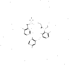 CCOCN(C(=O)CCl)c1c(C)cccc1CC.CS(=O)(=O)NC(=O)c1cc(Oc2ccc(C(F)(F)F)cc2Cl)ccc1[N+](=O)[O-]